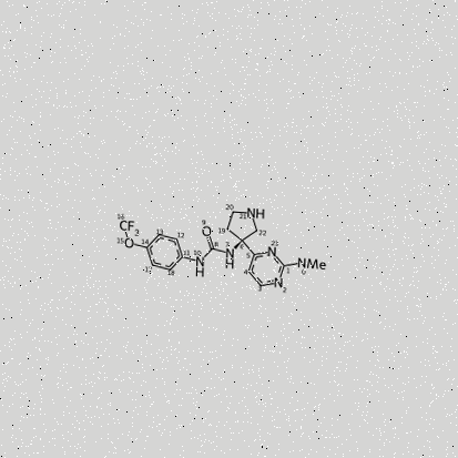 CNc1nccc([C@]2(NC(=O)Nc3ccc(OC(F)(F)F)cc3)CCNC2)n1